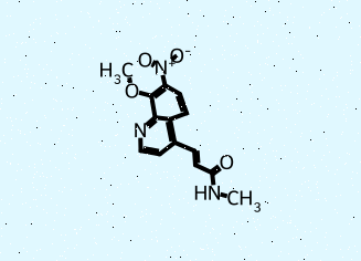 CNC(=O)C=Cc1ccnc2c(OC)c([N+](=O)[O-])ccc12